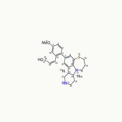 COc1ccc(-c2cc3c4c(c2)[C@@H]2CNCC[C@@H]2N4CCCS3)c(/C=C\C(=O)O)c1